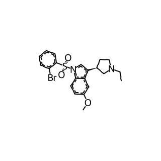 CCN1CC[C@H](c2cn(S(=O)(=O)c3ccccc3Br)c3ccc(OC)cc23)C1